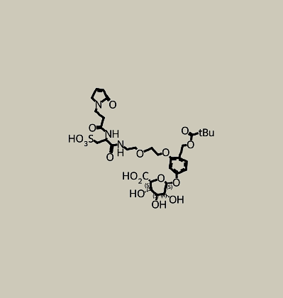 CC(C)(C)C(=O)OCc1ccc(O[C@@H]2O[C@H](C(=O)O)[C@@H](O)[C@H](O)[C@H]2O)cc1OCCOCCNC(=O)C(CS(=O)(=O)O)NC(=O)CCN1CC=CC1=O